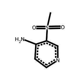 CS(=O)(=O)c1cnccc1N